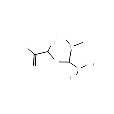 C=C([SiH3])C(C)OC(N(C)C)N(C)C